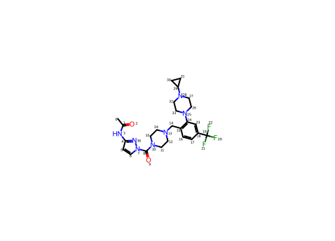 CC(=O)Nc1ccn(C(=O)N2CCN(Cc3ccc(C(F)(F)F)cc3N3CCN(C4CC4)CC3)CC2)n1